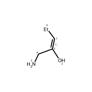 CC/C=C(/O)CN